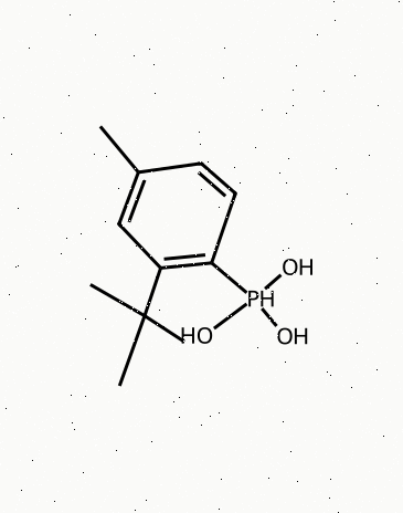 Cc1ccc([PH](O)(O)O)c(C(C)(C)C)c1